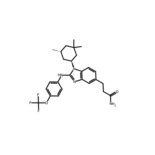 C[C@H]1C[C@H](n2c(Nc3ccc(OC(F)(F)F)cc3)nc3cc(CCC(N)=O)ccc32)CC(C)(C)C1